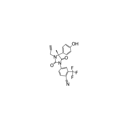 C#CCN1C(=O)N(c2ccc(C#N)c(C(F)(F)F)c2)C(=O)[C@@]1(C)c1ccc(O)cc1